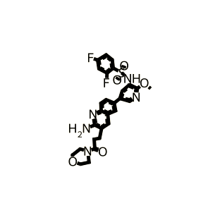 COc1ncc(-c2ccc3nc(N)c(CCC(=O)N4CCOCC4)cc3c2)cc1NS(=O)(=O)c1ccc(F)cc1F